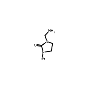 CC(C)N1CCN(CN)C1=O